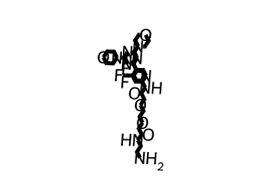 NCCNC(=O)COCCOCC(=O)Nc1cc(C(F)(F)F)c(-c2nc(N3CCOCC3)nc(N3CCOCC3)n2)cn1